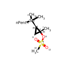 CCCCC[Si](C)(C)[C@@H]1C[C@@]1(C)OS(C)(=O)=O